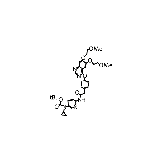 COCCOc1cc2ncnc(Oc3ccc(CC(=O)Nc4ccc(N(C(=O)OC(C)(C)C)C5CC5)cn4)cc3)c2cc1OCCOC